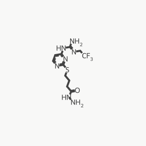 NNC(=O)CCCSc1nccc(NC(N)=NCC(F)(F)F)n1